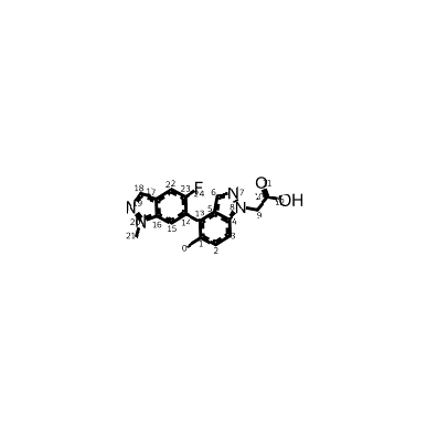 Cc1ccc2c(cnn2CC(=O)O)c1-c1cc2c(cnn2C)cc1F